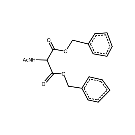 CC(=O)NC(C(=O)OCc1ccccc1)C(=O)OCc1ccccc1